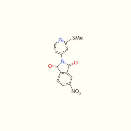 CSc1cc(N2C(=O)c3ccc([N+](=O)[O-])cc3C2=O)ccn1